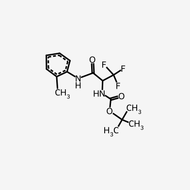 Cc1ccccc1NC(=O)C(NC(=O)OC(C)(C)C)C(F)(F)F